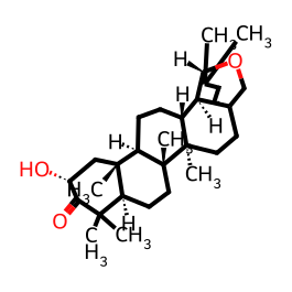 CC1(C)CC[C@]23CC[C@]4(C)[C@H](CC[C@@H]5[C@@]6(C)C[C@@H](O)C(=O)C(C)(C)[C@@H]6CC[C@]54C)[C@H]2[C@H]1OC3